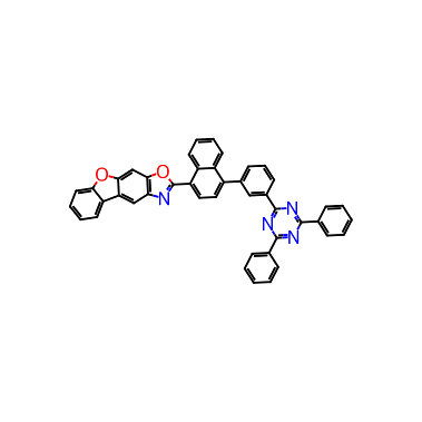 c1ccc(-c2nc(-c3ccccc3)nc(-c3cccc(-c4ccc(-c5nc6cc7c(cc6o5)oc5ccccc57)c5ccccc45)c3)n2)cc1